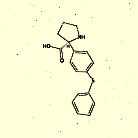 O=C(O)[C@]1(c2ccc(Sc3ccccc3)cc2)CCCN1